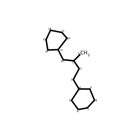 CC(CCC1CCCCC1)CC1CCCCC1